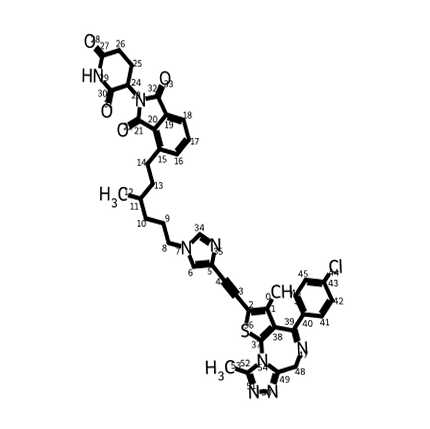 Cc1c(C#Cc2cn(CCCC(C)CCc3cccc4c3C(=O)N(C3CCC(=O)NC3=O)C4=O)cn2)sc2c1C(c1ccc(Cl)cc1)=NCc1nnc(C)n1-2